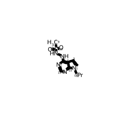 CC(C)n1ccc2c(NNS(C)(=O)=O)ncnc21